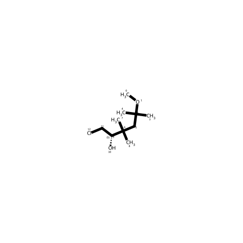 COC(C)(C)CC(C)(C)[C@H](O)CCl